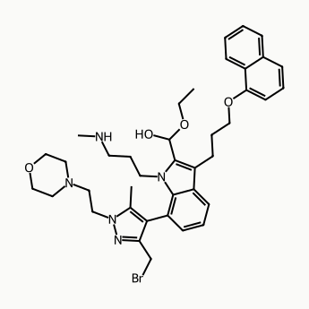 CCOC(O)c1c(CCCOc2cccc3ccccc23)c2cccc(-c3c(CBr)nn(CCN4CCOCC4)c3C)c2n1CCCNC